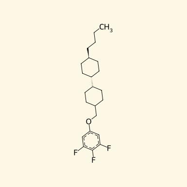 CCCC[C@H]1CC[C@H](C2CCC(COc3cc(F)c(F)c(F)c3)CC2)CC1